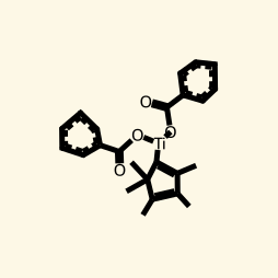 CC1=C(C)C(C)(C)[C]([Ti]([O]C(=O)c2ccccc2)[O]C(=O)c2ccccc2)=C1C